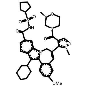 COc1ccc2c(c1)C=C(c1c(C(=O)N3CCO[C@H](C)C3)cnn1C)Cn1c-2c(C2CCCCC2)c2ccc(C(=O)NS(=O)(=O)C3CCCC3)cc21